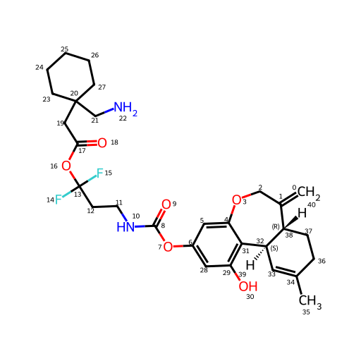 C=C1COc2cc(OC(=O)NCCC(F)(F)OC(=O)CC3(CN)CCCCC3)cc(O)c2[C@@H]2C=C(C)CC[C@@H]12